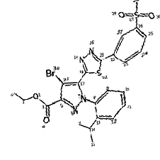 CCOC(=O)c1nn(-c2ccccc2C(C)C)c(-c2nnc(-c3cccc(S(C)(=O)=O)c3)s2)c1Br